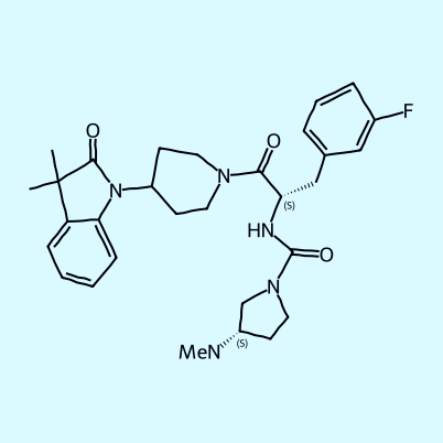 CN[C@H]1CCN(C(=O)N[C@@H](Cc2cccc(F)c2)C(=O)N2CCC(N3C(=O)C(C)(C)c4ccccc43)CC2)C1